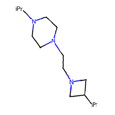 CC(C)C1CN(CCN2CCN(C(C)C)CC2)C1